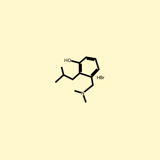 Br.CC(C)Cc1c(O)cccc1CN(C)C